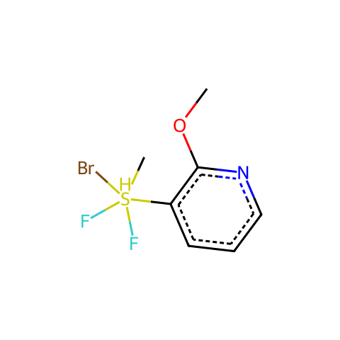 COc1ncccc1[SH](C)(F)(F)Br